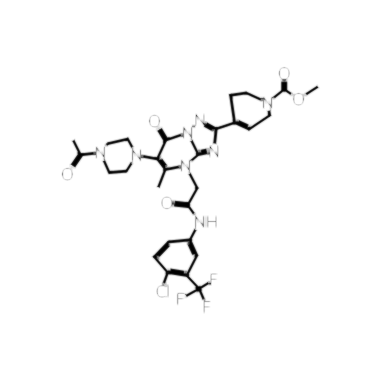 COC(=O)N1CC=C(c2nc3n(CC(=O)Nc4ccc(Cl)c(C(F)(F)F)c4)c(C)c(N4CCN(C(C)=O)CC4)c(=O)n3n2)CC1